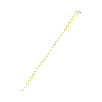 CS(=S)(=S)SSSSSSSSSSSSSSSSSSSSSSSSSSSSSSSSSSSSSSSSSSSSSSSSSSS